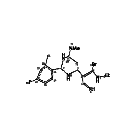 CCN/C(Br)=C(\C=N)CNC(NC(C)NC)c1ccc(F)cc1C